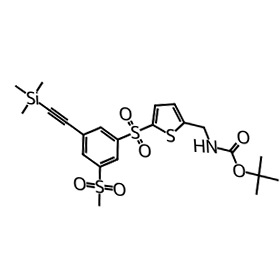 CC(C)(C)OC(=O)NCc1ccc(S(=O)(=O)c2cc(C#C[Si](C)(C)C)cc(S(C)(=O)=O)c2)s1